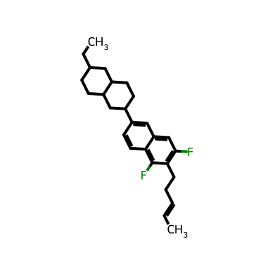 CC=CCCc1c(F)cc2cc(C3CCC4CC(CC)CCC4C3)ccc2c1F